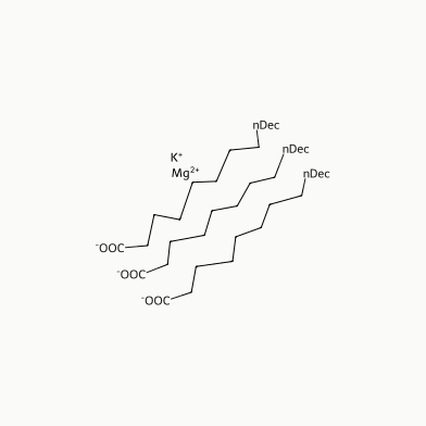 CCCCCCCCCCCCCCCCCC(=O)[O-].CCCCCCCCCCCCCCCCCC(=O)[O-].CCCCCCCCCCCCCCCCCC(=O)[O-].[K+].[Mg+2]